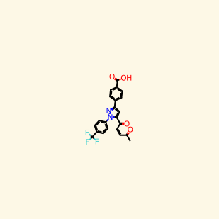 CC(=O)/C=C\C(=O)c1cc(-c2ccc(C(=O)O)cc2)nn1-c1ccc(C(F)(F)F)cc1